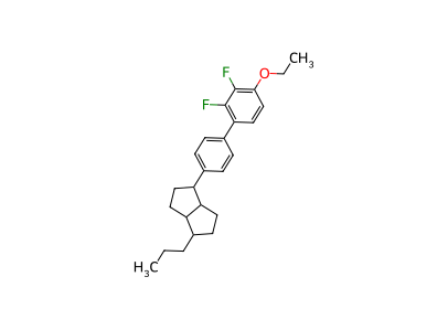 CCCC1CCC2C(c3ccc(-c4ccc(OCC)c(F)c4F)cc3)CCC12